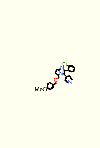 COc1ccc(COCC2CCc3nc(-c4ccccc4Cl)c(-c4ccncc4)n32)cc1